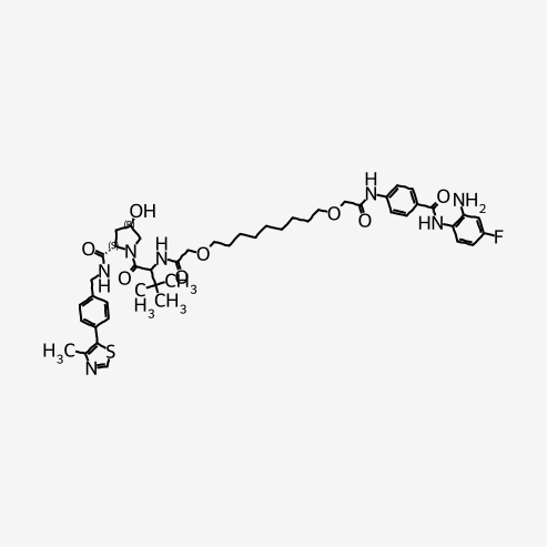 Cc1ncsc1-c1ccc(CNC(=O)[C@@H]2C[C@@H](O)CN2C(=O)C(NC(=O)COCCCCCCCCCOCC(=O)Nc2ccc(C(=O)Nc3ccc(F)cc3N)cc2)C(C)(C)C)cc1